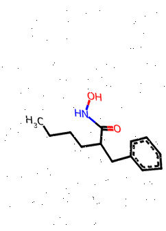 CCCCC(Cc1ccccc1)C(=O)NO